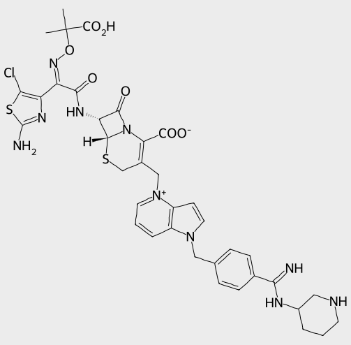 CC(C)(O/N=C(\C(=O)N[C@@H]1C(=O)N2C(C(=O)[O-])=C(C[n+]3cccc4c3ccn4Cc3ccc(C(=N)NC4CCCNC4)cc3)CS[C@H]12)c1nc(N)sc1Cl)C(=O)O